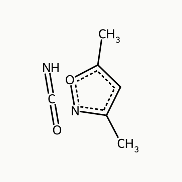 Cc1cc(C)on1.N=C=O